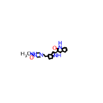 CNC(=O)N1CCN(CCc2ccc3[nH]c(-c4cc5ccccc5[nH]c4=O)cc3c2)CC1